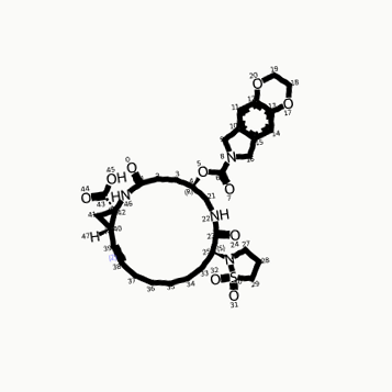 O=C1CC[C@@H](OC(=O)N2Cc3cc4c(cc3C2)OCCO4)CNC(=O)[C@@H](N2CCCS2(=O)=O)CCCCC/C=C\[C@@H]2C[C@@]2(C(=O)O)N1